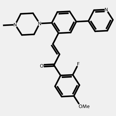 COc1ccc(C(=O)C=Cc2cc(-c3cccnc3)ccc2N2CCN(C)CC2)c(F)c1